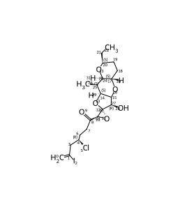 C=C(I)C[C@H](Cl)CCC(=O)[C@@H]1O[C@@]12O[C@@H]1C(O[C@H]3CC[C@H](CC)O[C@@H]3[C@@H]1C)[C@H]2O